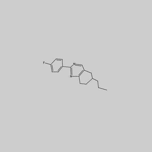 CCCC1CCc2nc(-c3ccc(F)cc3)ncc2C1